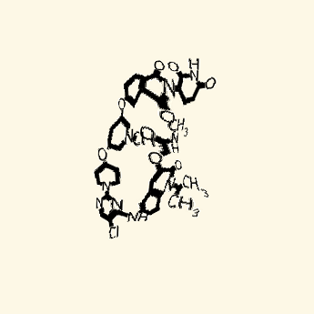 CNC(=O)COc1cc2cc(Nc3nc(N4CCC(O[C@@H]5C[C@@H](Oc6ccc7c(c6)C(=O)N(C6CCC(=O)NC6=O)C7=O)CN(C)C5)CC4)ncc3Cl)ccc2n(C(C)C)c1=O